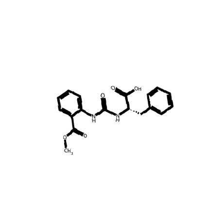 COC(=O)c1ccccc1NC(=O)N[C@@H](Cc1ccccc1)C(=O)O